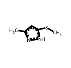 CSc1cc(C)n[nH]1